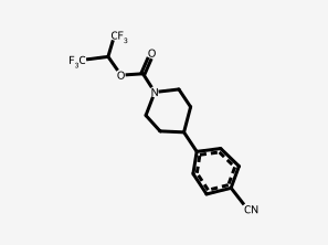 N#Cc1ccc(C2CCN(C(=O)OC(C(F)(F)F)C(F)(F)F)CC2)cc1